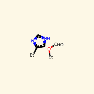 CCOC=O.CCc1c[nH]cn1